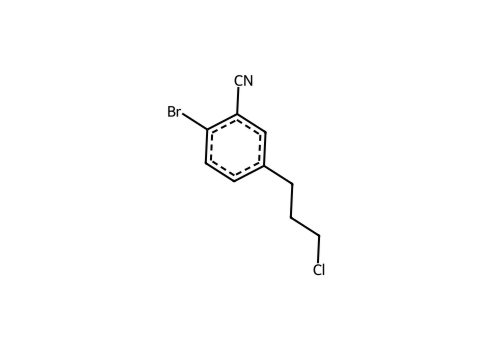 N#Cc1cc(CCCCl)ccc1Br